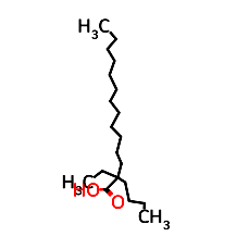 CCCCCCCCCCCCC(CC)(CCCC)C(=O)O